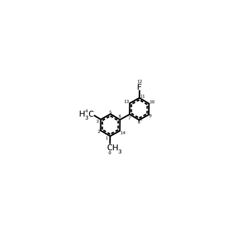 Cc1cc(C)cc(-c2[c]ccc(F)c2)c1